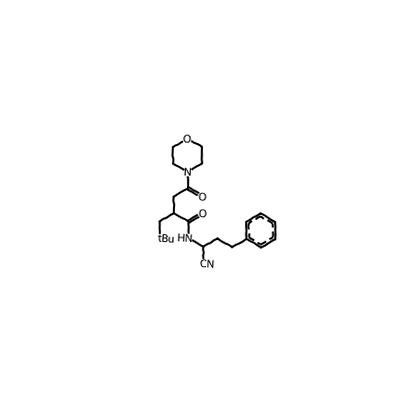 CC(C)(C)CC(CC(=O)N1CCOCC1)C(=O)NC(C#N)CCc1ccccc1